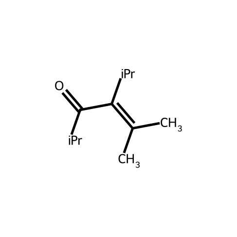 CC(C)=C(C(=O)C(C)C)C(C)C